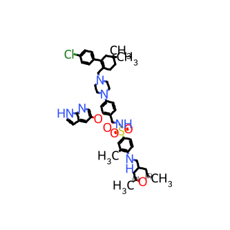 Cc1cc(S(=O)(=O)NC(=O)c2ccc(N3CCN(CC4=C(c5ccc(Cl)cc5)CC(C)(C)CC4)CC3)cc2Oc2cnc3[nH]ccc3c2)ccc1NCC1C[C@@H](C)O[C@@H](C)C1